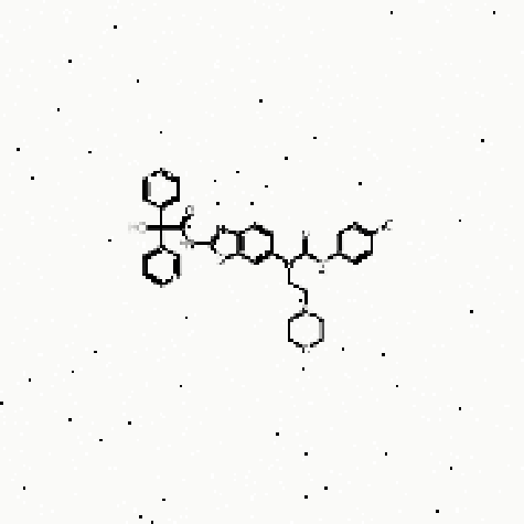 O=C(Nc1ccc(Cl)cc1)N(CCN1CCOCC1)c1ccc2nc(NC(=O)C(O)(c3ccccc3)c3ccccc3)sc2c1